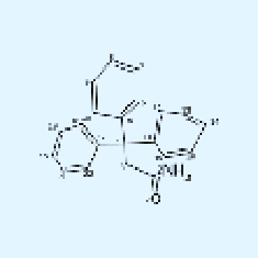 NC(=O)CC(c1ccccc1)(c1ccccc1)c1ccccc1